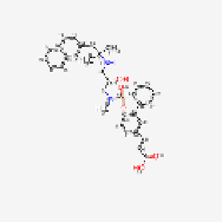 CN(CC(O)CNC(C)(C)Cc1ccc2ccccc2c1)S(=O)(=O)c1ccccc1-c1cccc(C=CC(=O)O)c1